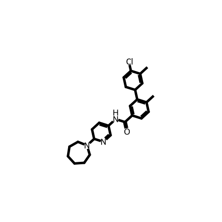 CC1=CC(c2cc(C(=O)NC3=CCC(N4CCCCCC4)N=C3)ccc2C)CC=C1Cl